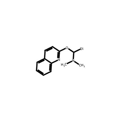 CCC(Oc1c[c]c2ccccc2n1)N(C)C